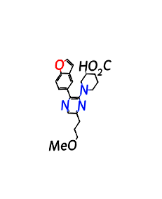 COCCCc1cnc(-c2ccc3occc3c2)c(N2CCC[C@@H](C(=O)O)C2)n1